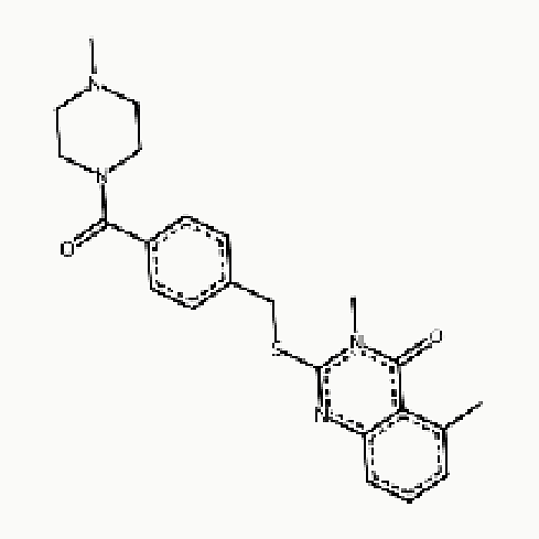 Cc1cccc2nc(SCc3ccc(C(=O)N4CCN(C)CC4)cc3)n(C)c(=O)c12